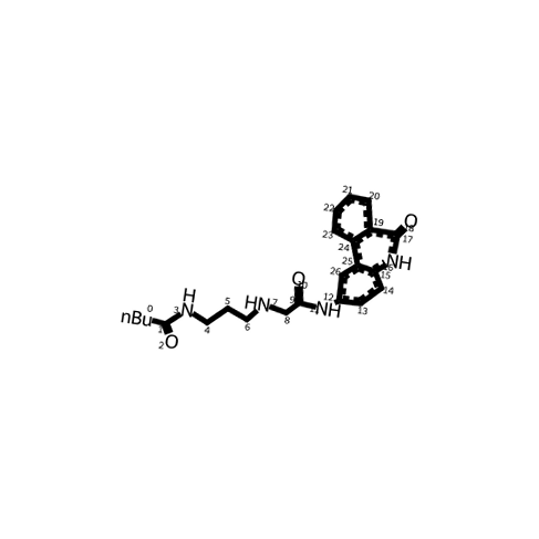 CCCCC(=O)NCCCNCC(=O)Nc1ccc2[nH]c(=O)c3ccccc3c2c1